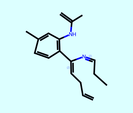 C=CC/C=C(\N=C/CC)c1ccc(C)cc1NC(=C)C